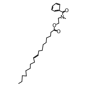 CCCCCCCCC=CCCCCCCCC(=O)OCCN(C)C(=O)c1ccccc1